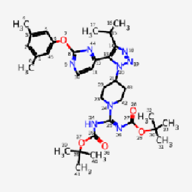 Cc1cc(C)cc(Oc2nccc(-c3c(C(C)C)nnn3C3CCN(/C(=N\C(=O)OC(C)(C)C)NC(=O)OC(C)(C)C)CC3)n2)c1